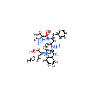 O=C(C[C@H](Cc1ccccc1)NC(=O)[C@@H]1CCCN1)N[C@@H](Cc1ccccc1)C(=O)N[C@@H](CO)C(=O)O